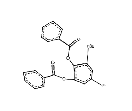 CCCCc1cc(C(C)C)cc(OC(=O)c2ccccc2)c1OC(=O)c1ccccc1